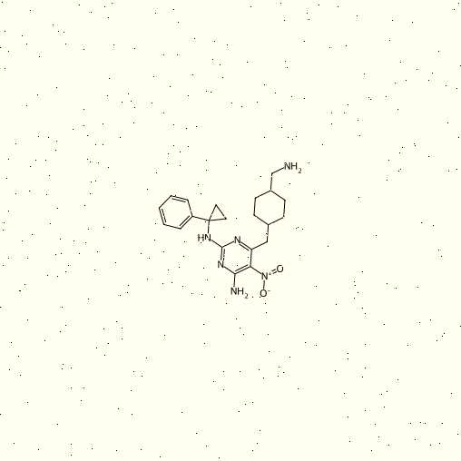 NCC1CCC(Cc2nc(NC3(c4ccccc4)CC3)nc(N)c2[N+](=O)[O-])CC1